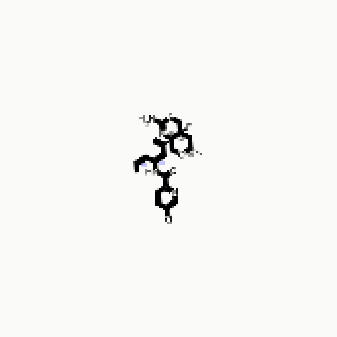 C=C(/C=C(\C=C/C)NC(=O)c1ccc(Cl)cn1)[C@]12CO[C@@H](C)C[C@@]1(F)CSC(N)=N2